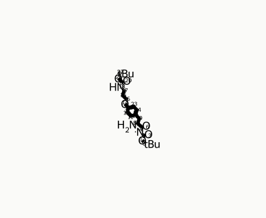 CC(C)(C)OC(=O)[N]C(=O)[C@@H](N)Cc1ccc(OCCCNC(=O)OC(C)(C)C)cc1